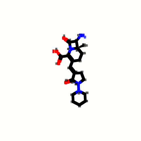 N[C@@H]1C(=O)N2C(C(=O)O)=C(C=C3CCN(N4CCCCC4)C3=O)CC[C@H]12